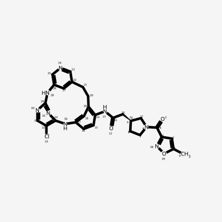 Cc1cc(C(=O)N2CC[C@@H](CC(=O)Nc3ccc4cc3CCc3cncc(c3)Nc3ncc(Cl)c(n3)N4)C2)no1